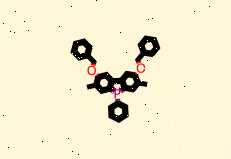 Cc1cc2c(cc1OCc1ccccc1)c1cc(OCc3ccccc3)c(C)cc1p2-c1ccccc1